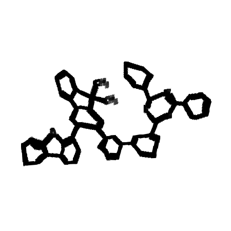 CC1(C)c2ccccc2-c2cc(-c3cccc4c3oc3ccccc34)c(-c3cccc(-c4cccc(-c5nc(-c6ccccc6)nc(-c6ccccc6)n5)c4)c3)cc21